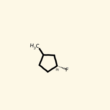 CC1CC[C@@H](F)C1